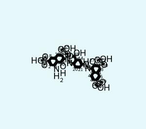 Nc1cc(S(=O)(=O)O)cc2cc(S(=O)(=O)O)c(N=Nc3ccc(N=Nc4c(O)c(S(=O)(=O)O)cc5cc(S(=O)(=O)O)ccc45)cc3C(=O)O)c(O)c12